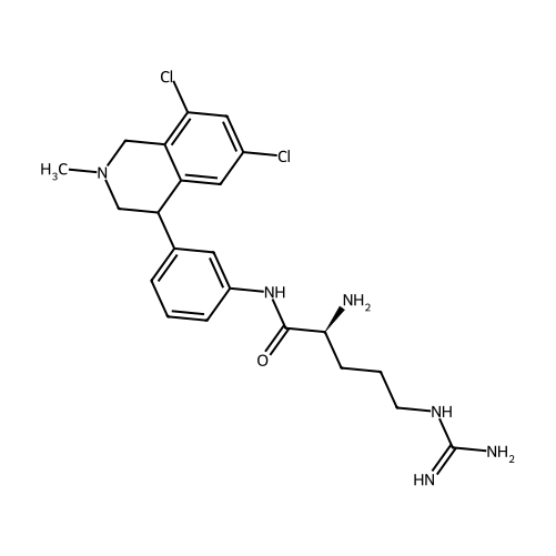 CN1Cc2c(Cl)cc(Cl)cc2C(c2cccc(NC(=O)[C@@H](N)CCCNC(=N)N)c2)C1